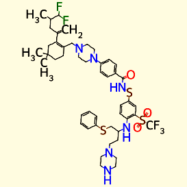 C=C(CC(C)C(F)F)C1=C(CN2CCN(c3ccc(C(=O)NSc4ccc(NC(CCN5CCNCC5)CSc5ccccc5)c(S(=O)(=O)C(F)(F)F)c4)cc3)CC2)CCC(C)(C)C1